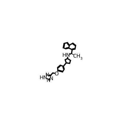 C[C@@H](NC1CCC(c2ccc(OCc3nn[nH]n3)cc2)C1)c1cccc2ccccc12